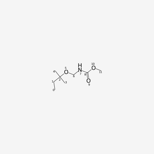 CCC(C)(C)OCNC(=O)OC